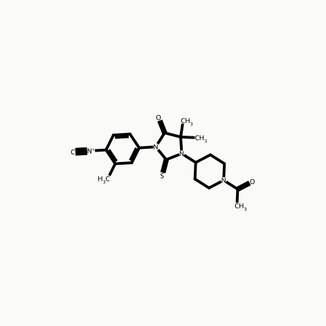 [C-]#[N+]c1ccc(N2C(=O)C(C)(C)N(C3CCN(C(C)=O)CC3)C2=S)cc1C